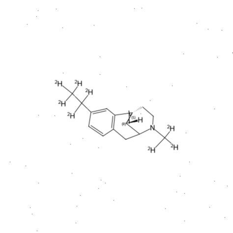 [2H]C([2H])([2H])N1CC[C@@]23CCCC[C@H]2C1Cc1ccc(C([2H])([2H])C([2H])([2H])[2H])cc13